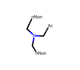 CCCCCCCCCCN(CCCCCCCCCC)CC(C)=O